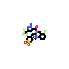 CNc1cccc(F)c1CN(CCC1CCS(=O)(=O)CC1)C(=O)c1cc(C(F)(F)F)n[nH]1